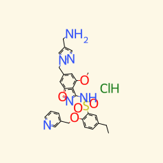 CCc1ccc(OCc2cccnc2)c(S(=O)(=O)Nc2noc3cc(Cn4cc(CN)cn4)cc(OC)c23)c1.Cl